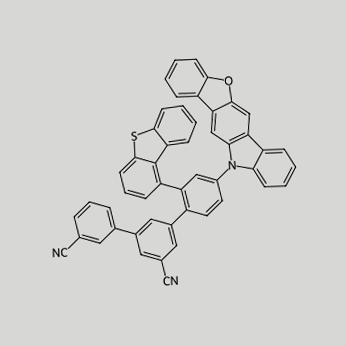 N#Cc1cccc(-c2cc(C#N)cc(-c3ccc(-n4c5ccccc5c5cc6oc7ccccc7c6cc54)cc3-c3cccc4sc5ccccc5c34)c2)c1